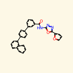 O=C(Nc1nnc(-c2ccco2)o1)c1cccc(-c2ccc(-c3cccc4ccccc34)cc2)c1